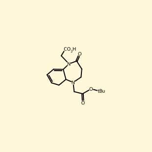 CC(C)(C)OC(=O)CN1CCC(=O)N(CC(=O)O)C2=CC=CCC21